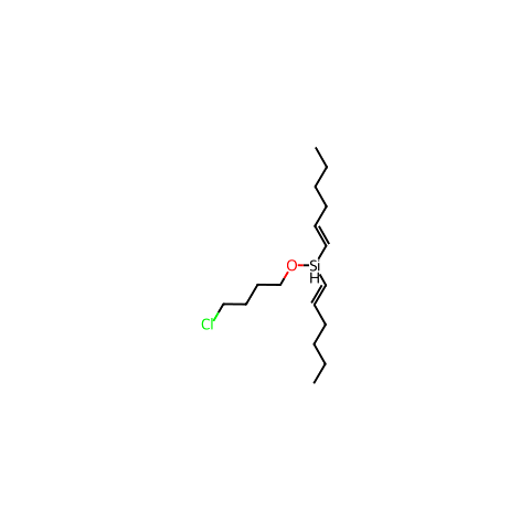 CCCCC=C[SiH](C=CCCCC)OCCCCCl